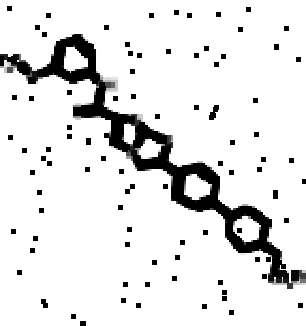 CCOC(=O)CC1CCC(c2ccc(-c3cn4cc(C(=O)Nc5cccc(OC(F)(F)F)c5)nc4s3)cc2)CC1